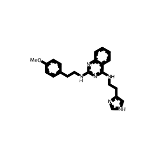 COc1ccc(CCNc2nc(NCCc3c[nH]cn3)c3ccccc3n2)cc1